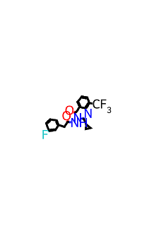 O=C(Cc1cccc(F)c1)Nn1c(C2CC2)nc2c(C(F)(F)F)cccc2c1=O